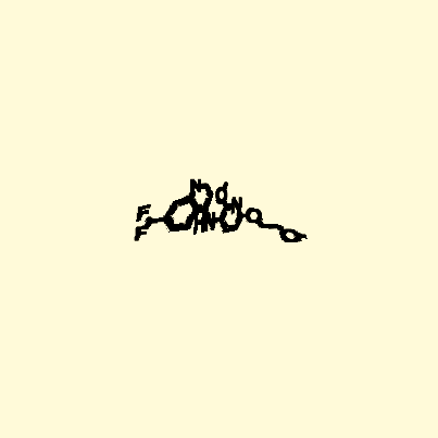 COCCOc1ccc(Nc2ccnc3cc(C(F)F)ccc23)c(OC)n1